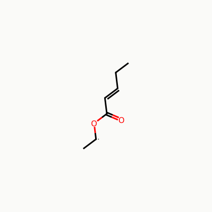 C[CH]OC(=O)/C=C/CC